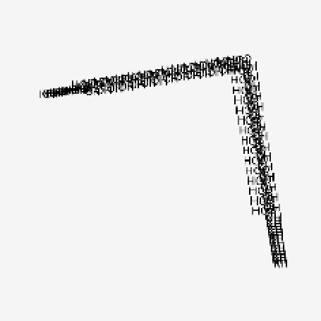 O=[Si](O)O.O=[Si](O)O.O=[Si](O)O.O=[Si](O)O.O=[Si](O)O.O=[Si](O)O.O=[Si](O)O.O=[Si](O)O.O=[Si](O)O.O=[Si](O)O.O=[Si](O)O.O=[Si](O)O.O=[Si](O)O.O=[Si](O)O.O=[Si](O)O.O=[Si](O)O.O=[Si](O)O.O=[Si](O)O.O=[Si](O)O.O=[Si](O)O.O=[Si](O)O.O=[Si](O)O.O=[Si](O)O.O=[Si](O)O.O=[Si](O)O.O=[Si](O)O.O=[Si](O)O.O=[Si](O)O.O=[Si](O)O.O=[Si](O)O.[KH].[KH].[KH].[KH].[KH].[KH].[KH].[KH].[KH].[KH].[KH].[KH].[KH].[KH].[KH].[KH].[KH].[KH].[KH].[KH].[KH].[KH].[KH].[KH].[KH].[KH].[KH].[KH]